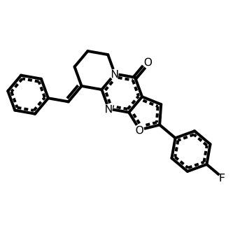 O=c1c2cc(-c3ccc(F)cc3)oc2nc2n1CCC/C2=C\c1ccccc1